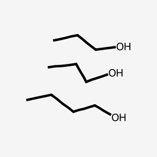 CCCCO.CCCO.CCCO